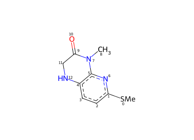 CSc1ccc2c(n1)N(C)C(=O)CN2